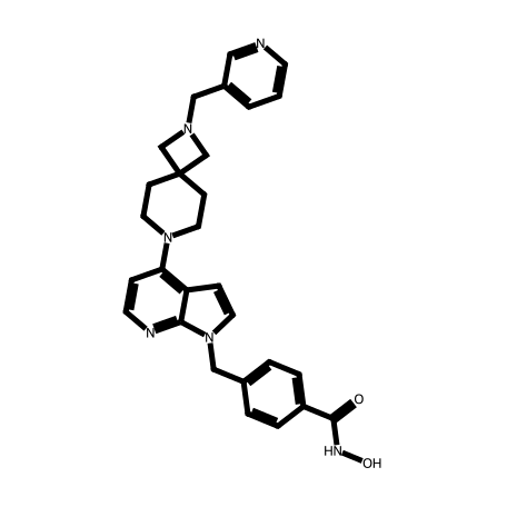 O=C(NO)c1ccc(Cn2ccc3c(N4CCC5(CC4)CN(Cc4cccnc4)C5)ccnc32)cc1